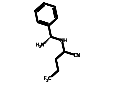 N#CC(CCC(F)(F)F)N[C@H](N)c1ccccc1